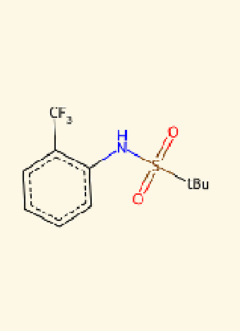 CC(C)(C)S(=O)(=O)Nc1ccccc1C(F)(F)F